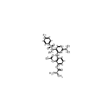 CCC(=O)Oc1c(Nc2nc(N(CC)CC)ncc2N(C(C)C)S(=O)(=O)c2ccc(F)cc2)cccc1OC(=O)N(C)C